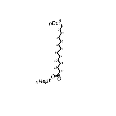 CCCCCCCCCCCCCCCCCCCCCCCC(=O)OCCCCCCC